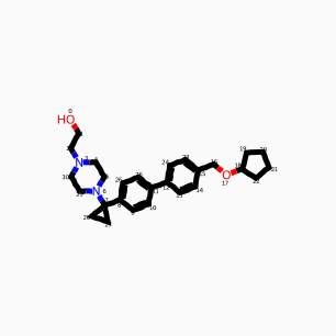 OCCN1CCN(C2(c3ccc(-c4ccc(COC5CCCC5)cc4)cc3)CC2)CC1